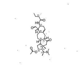 CC[C@H](C)C(=O)N[C@H]1CC=C2C[C@@H]3C(=O)C[C@]4(C)[C@@H]([C@H](C)N(C)C)[C@H](OC(C)=O)C[C@@]4(C)[C@@H]3CC[C@H]2[C@]1(C)C=O